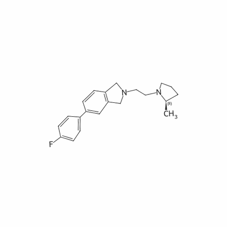 C[C@@H]1CCCN1CCN1Cc2ccc(-c3ccc(F)cc3)cc2C1